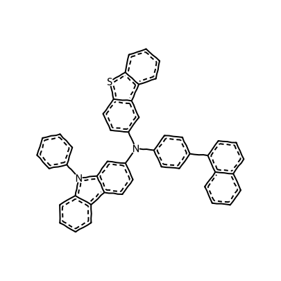 c1ccc(-n2c3ccccc3c3ccc(N(c4ccc(-c5cccc6ccccc56)cc4)c4ccc5sc6ccccc6c5c4)cc32)cc1